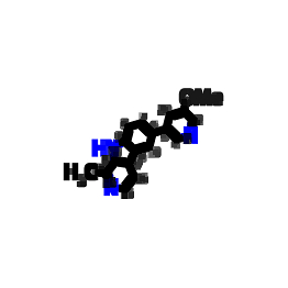 COc1cncc(-c2ccc3[nH]c4c(C)nccc4c3c2)c1